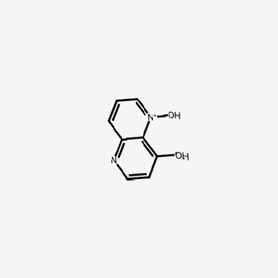 Oc1ccnc2ccc[n+](O)c12